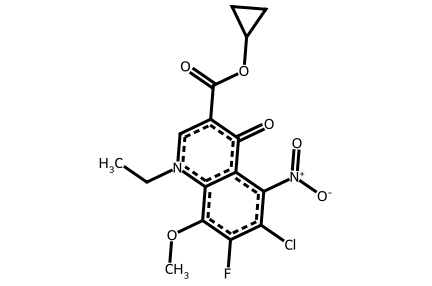 CCn1cc(C(=O)OC2CC2)c(=O)c2c([N+](=O)[O-])c(Cl)c(F)c(OC)c21